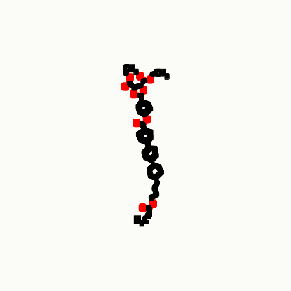 C=CC(=O)OCCCC[C@H]1CC[C@H](c2ccc(-c3ccc(C(=O)Oc4ccc(C5O[C@@H](C(=O)OCC)[C@H](C(=O)OCC)O5)cc4)cc3)cc2)CC1